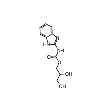 O=C(Nc1nc2ccccc2[nH]1)OCC(O)CO